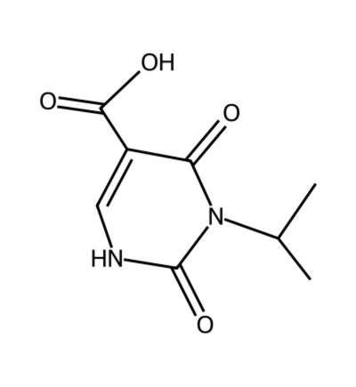 CC(C)n1c(=O)[nH]cc(C(=O)O)c1=O